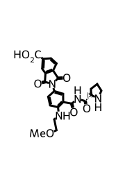 COCCNc1ccc(N2C(=O)c3ccc(C(=O)O)cc3C2=O)cc1C(=O)NC(=O)[C@@H]1CCCN1